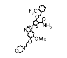 COc1cc2c(cc1OCCN1CCOCC1)ncn2-c1cc(OCc2ccccc2C(F)(F)F)c(C(N)=O)s1